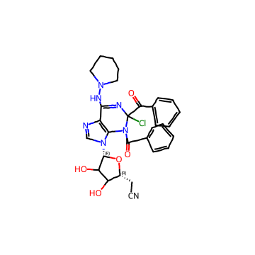 N#CC[C@H]1O[C@@H](n2cnc3c2N(C(=O)c2ccccc2)C(Cl)(C(=O)c2ccccc2)N=C3NN2CCCCC2)C(O)C1O